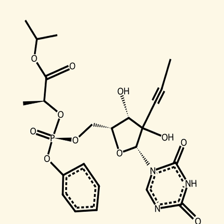 CC#CC1(O)[C@@H](O)[C@@H](CO[P@](=O)(Oc2ccccc2)O[C@@H](C)C(=O)OC(C)C)O[C@H]1n1cnc(=O)[nH]c1=O